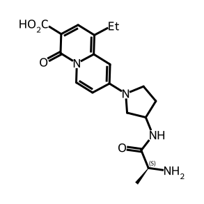 CCc1cc(C(=O)O)c(=O)n2ccc(N3CCC(NC(=O)[C@H](C)N)C3)cc12